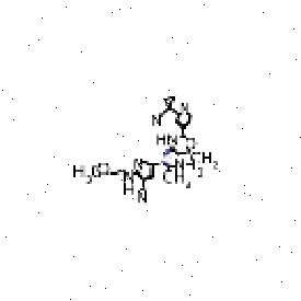 C=CC/C(=C\C(=C(\C)N)c1cnc(NCCOC)c(C#N)c1)NC(=O)c1ccnc(C2(C#N)CC2)c1